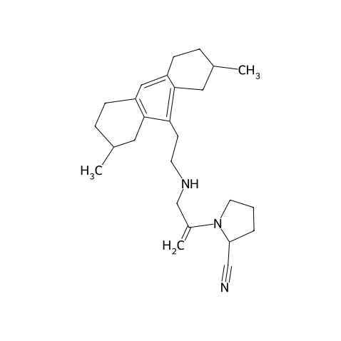 C=C(CNCCc1c2c(cc3c1CC(C)CC3)CCC(C)C2)N1CCCC1C#N